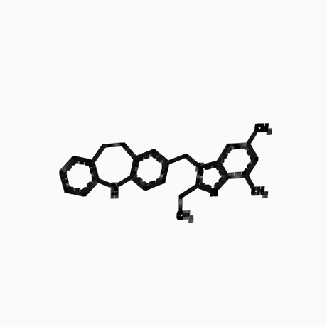 CCc1nc2c(C)cc(C)cc2n1Cc1ccc2c(c1)CCc1ccccc1N2